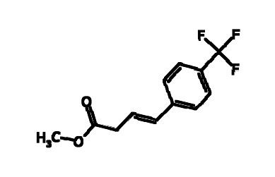 COC(=O)C/C=C/c1ccc(C(F)(F)F)cc1